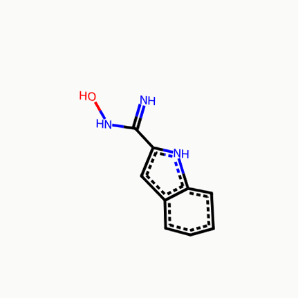 N=C(NO)c1cc2ccccc2[nH]1